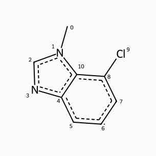 Cn1cnc2c[c]cc(Cl)c21